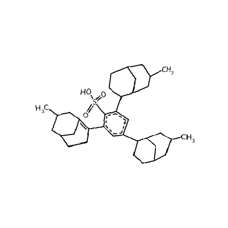 CC1CC2=C(c3cc(C4CCC5CC(C)CC4C5)cc(C4CCC5CC(C)CC4C5)c3S(=O)(=O)O)CCC(C2)C1